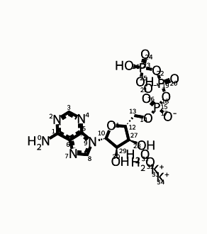 Nc1ncnc2c1ncn2[C@@H]1O[C@H](COP(=O)([O-])OP(=O)([O-])OP(=O)(O)O)[C@@H](O)[C@H]1O.O.O.[K+].[K+]